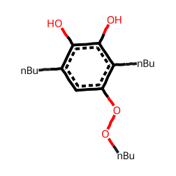 CCCCOOc1cc(CCCC)c(O)c(O)c1CCCC